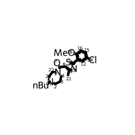 CCCCN1CCCN(C(=O)c2sc(-c3cc(Cl)ccc3OC)nc2C)CC1